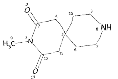 CN1C(=O)CC2(CCNCC2)CC1=O